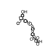 O=C1CC[C@H](N2Cc3cc(N4CCN(CC5CCN(c6ccc([C@@H]7c8ccc(O)cc8CC[C@@H]7CC7CCCC7)cc6)CC5)CC4)ccc3C2=O)C(=O)N1